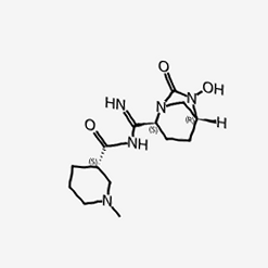 CN1CCC[C@H](C(=O)NC(=N)[C@@H]2CC[C@@H]3CN2C(=O)N3O)C1